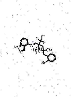 CC(C)(Cc1ccccc1Br)CC(O)(/C=N/c1cccc2[nH]ncc12)C(F)(F)F